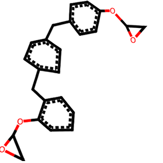 c1ccc(OC2CO2)c(Cc2ccc(Cc3ccc(OC4CO4)cc3)cc2)c1